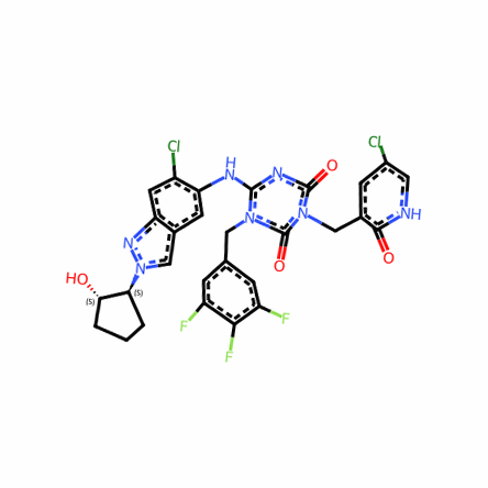 O=c1[nH]cc(Cl)cc1Cn1c(=O)nc(Nc2cc3cn([C@H]4CCC[C@@H]4O)nc3cc2Cl)n(Cc2cc(F)c(F)c(F)c2)c1=O